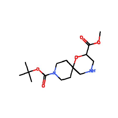 COC(=O)C1CNCC2(CCN(C(=O)OC(C)(C)C)CC2)O1